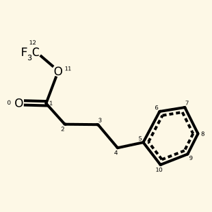 O=C(CCCc1ccccc1)OC(F)(F)F